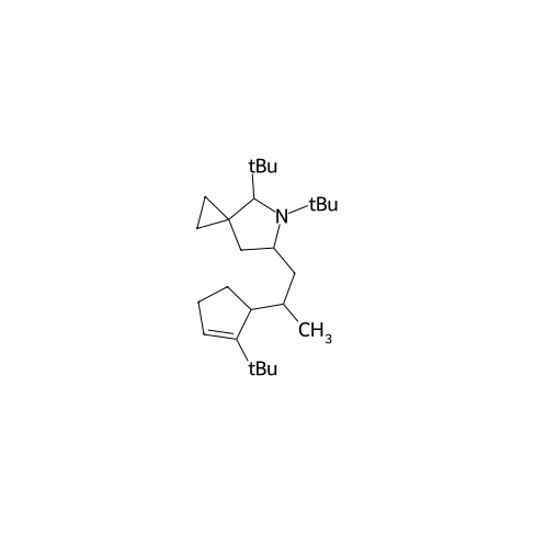 CC(CC1CC2(CC2)C(C(C)(C)C)N1C(C)(C)C)C1CCC=C1C(C)(C)C